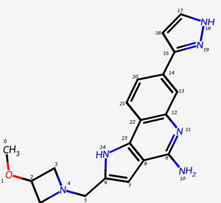 COC1CN(Cc2cc3c(N)nc4cc(-c5cc[nH]n5)ccc4c3[nH]2)C1